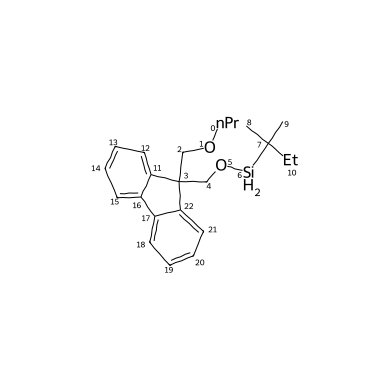 CCCOCC1(CO[SiH2]C(C)(C)CC)c2ccccc2-c2ccccc21